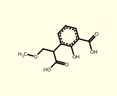 COCC(C(=O)O)c1c[c]cc(C(=O)O)c1O